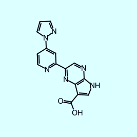 O=C(O)c1c[nH]c2ncc(-c3cc(-n4cccn4)ccn3)nc12